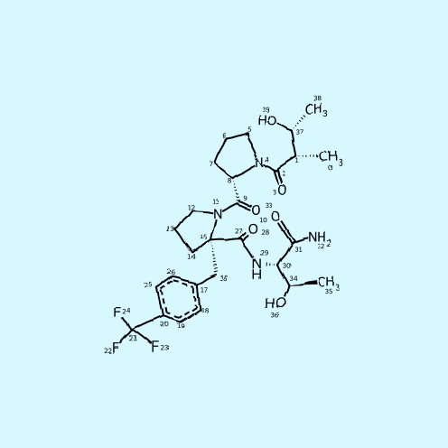 C[C@H](C(=O)N1CCC[C@H]1C(=O)N1CCC[C@]1(Cc1ccc(C(F)(F)F)cc1)C(=O)N[C@H](C(N)=O)[C@@H](C)O)[C@@H](C)O